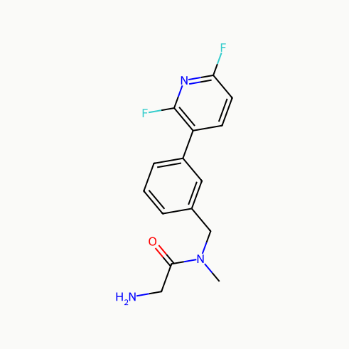 CN(Cc1cccc(-c2ccc(F)nc2F)c1)C(=O)CN